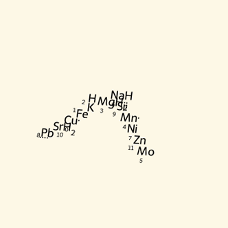 [Cu].[Fe].[KH].[MgH2].[Mn].[Mo].[NaH].[Ni].[Pb].[Si].[SrH2].[Zn]